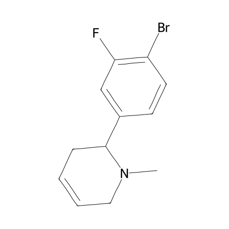 CN1CC=CCC1c1ccc(Br)c(F)c1